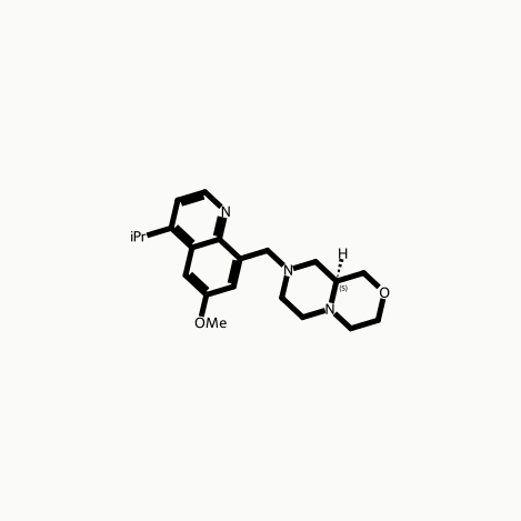 COc1cc(CN2CCN3CCOC[C@@H]3C2)c2nccc(C(C)C)c2c1